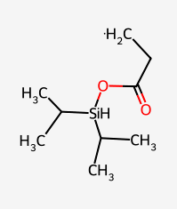 [CH2]CC(=O)O[SiH](C(C)C)C(C)C